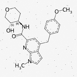 COc1ccc(Cc2cc(C(=O)N[C@@H]3CCOC[C@H]3O)nc3c2ccn3C)cc1